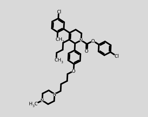 CCCCC1=C(c2cc(Cl)ccc2C)CCN(C(=O)Oc2ccc(Cl)cc2)C1c1ccc(OCCCCN2CCN(C)CC2)cc1